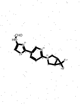 O=CNc1csc(-c2ccc(N3CC4C(C3)C4(F)F)nc2)n1